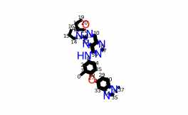 Cc1cc(Nc2ncnc3cnc(N4CCC[C@@]45CCOC5)nc23)ccc1Oc1ccc2c(c1)ncn2C